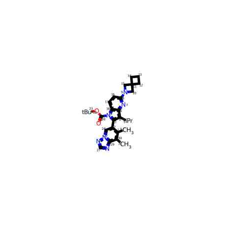 Cc1c(-c2c(C(C)C)c3nc(N4CC5(CCC5)C4)ccc3n2C(=O)OC(C)(C)C)cn2ncnc2c1C